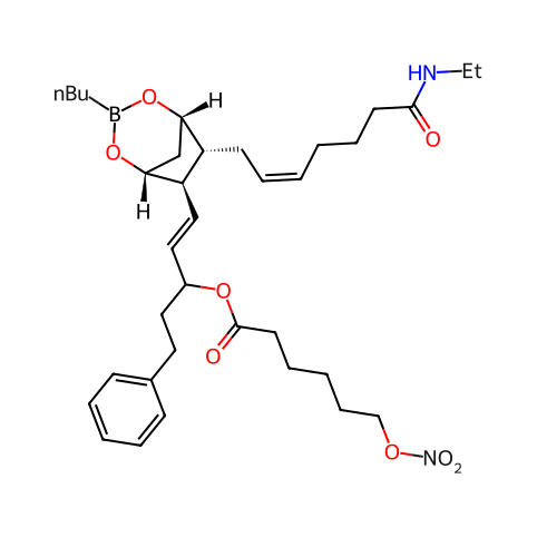 CCCCB1O[C@H]2C[C@@H](O1)[C@H](/C=C/C(CCc1ccccc1)OC(=O)CCCCCO[N+](=O)[O-])[C@H]2C/C=C\CCCC(=O)NCC